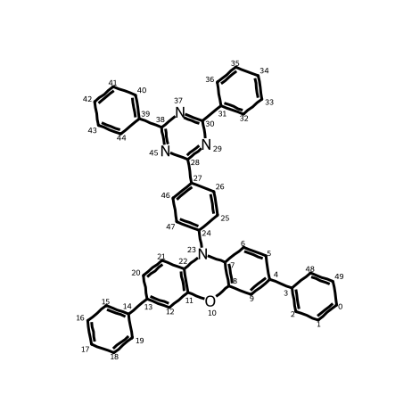 c1ccc(-c2ccc3c(c2)Oc2cc(-c4ccccc4)ccc2N3c2ccc(-c3nc(-c4ccccc4)nc(-c4ccccc4)n3)cc2)cc1